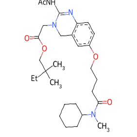 CCC(C)(C)COC(=O)CN1Cc2cc(OCCCC(=O)N(C)C3CCCCC3)ccc2N=C1NC(C)=O